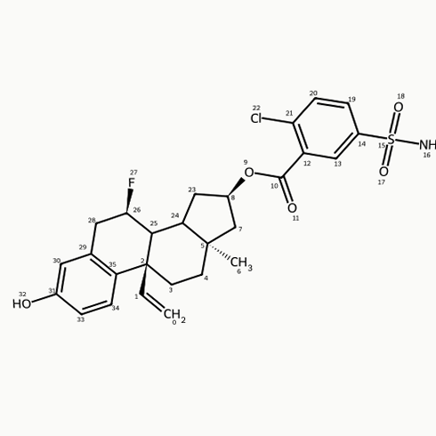 C=C[C@]12CC[C@]3(C)C[C@H](OC(=O)c4cc(S(N)(=O)=O)ccc4Cl)CC3C1[C@H](F)Cc1cc(O)ccc12